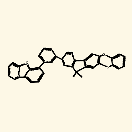 CC1(C)c2cc(-c3cccc(-c4cccc5c4sc4ccccc45)c3)ccc2-c2cc3c(cc21)Sc1ccccc1S3